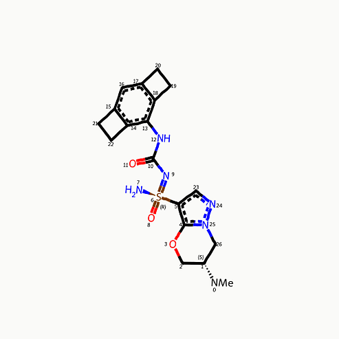 CN[C@@H]1COc2c([S@](N)(=O)=NC(=O)Nc3c4c(cc5c3CC5)CC4)cnn2C1